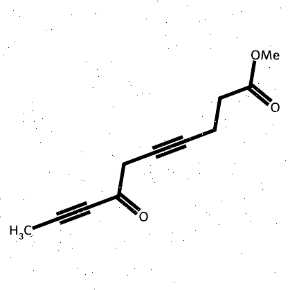 CC#CC(=O)CC#CCCC(=O)OC